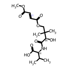 COC(=O)/C=C/C(=O)OCC(C)(C)[C@@H](O)C(=O)N[C@H](C(=O)O)C(C)C